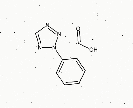 O=CO.c1ccc(-n2ncnn2)cc1